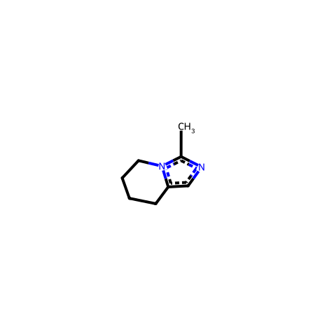 Cc1ncc2n1CCCC2